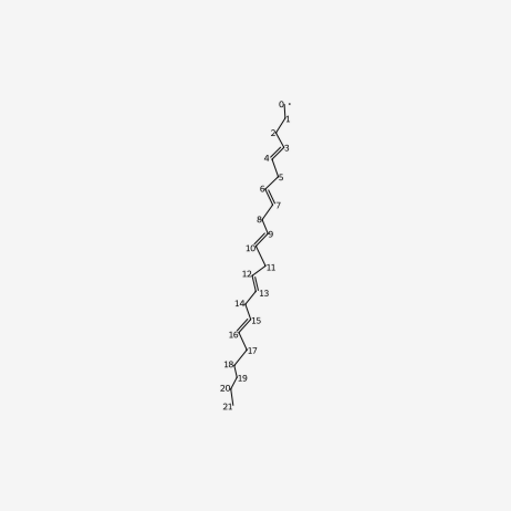 [CH2]CCC=CCC=CCC=CCC=CCC=CCCCCC